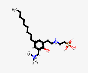 CCCCCCCCCc1cc(CCNCCS(=O)(=O)O)c(O)c(CN(C)C)c1